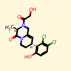 C[C@@H]1C(=O)N2CC[C@@H](c3c(O)ccc(Cl)c3Cl)C=C2CN1C(=O)CO